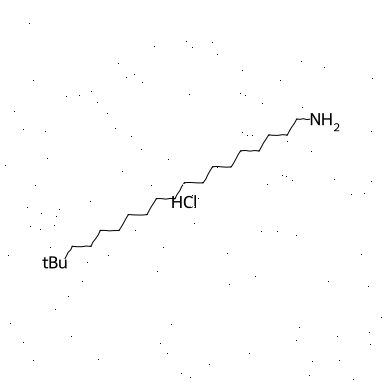 CC(C)(C)CCCCCCCCCCCCCCCCCN.Cl